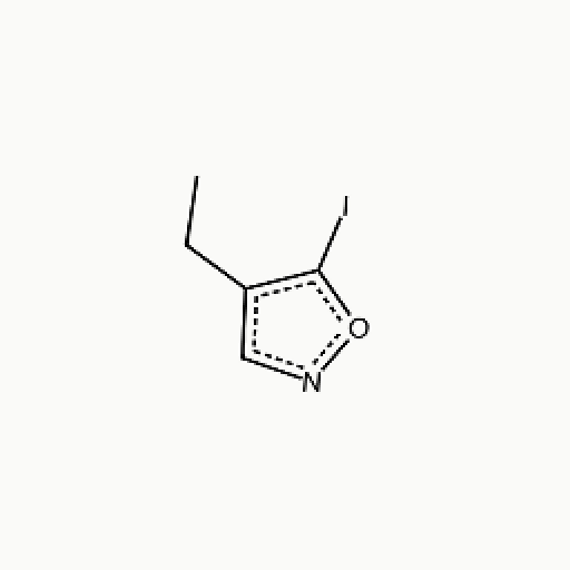 CCc1cnoc1I